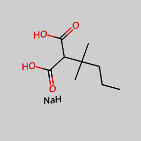 CCCC(C)(C)C(C(=O)O)C(=O)O.[NaH]